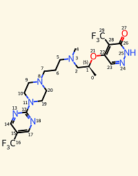 C[C@@H](CN(C)CCCN1CCN(c2ncc(C(F)(F)F)cn2)CC1)Oc1cn[nH]c(=O)c1C(F)(F)F